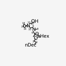 CCCCCCCCCCCCOCC(CN(C)CCN(CCO)C1CCC1)OCCCCCC